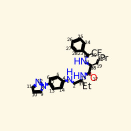 CC[C@@H](CNc1ccc(-n2cccn2)cc1)NC(=O)[C@H](CC(C)C)N[C@@H](c1ccccc1)C(F)(F)F